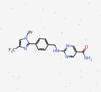 CC(C)n1cc(C(F)(F)F)nc1-c1ccc(CNc2ncc(C(N)=O)cn2)cc1